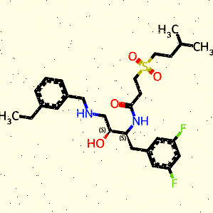 CCc1cccc(CNC[C@H](O)[C@H](Cc2cc(F)cc(F)c2)NC(=O)CCS(=O)(=O)CCC(C)C)c1